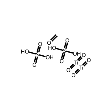 C=O.O=S(=O)(O)O.O=S(=O)(O)O.[O]=[Ti]=[O].[O]=[Ti]=[O]